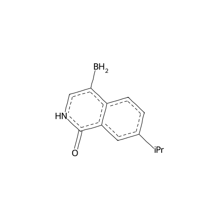 Bc1c[nH]c(=O)c2cc(C(C)C)ccc12